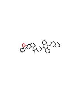 CC1(C)C2=CC=C(c3c4ccccc4c(C4=CC=C5C=CC=CC5C4)c4ccccc34)CC2c2ccc3cc4oc5ccccc5c4cc3c21